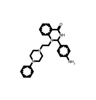 Nc1ccc(C2NC(=O)c3ccccc3N2CCN2CCN(c3ccccc3)CC2)cc1